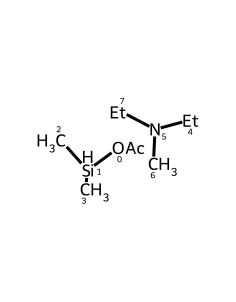 CC(=O)O[SiH](C)C.CCN(C)CC